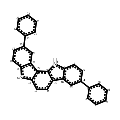 c1ccc(-c2ccc3[nH]c4c(ccc5sc6ccc(-c7ccccc7)cc6c54)c3c2)cc1